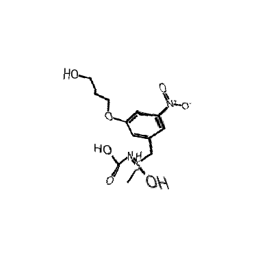 C[SH](O)(Cc1cc(OCCCO)cc([N+](=O)[O-])c1)=NC(=O)O